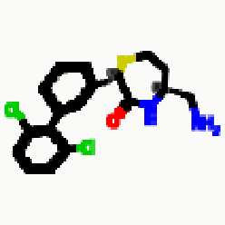 NC[C@H]1CCS[C@@H](c2cccc(-c3c(Cl)cccc3Cl)c2)C(=O)N1